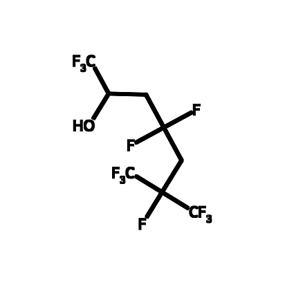 OC(CC(F)(F)CC(F)(C(F)(F)F)C(F)(F)F)C(F)(F)F